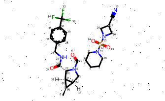 C[C@@H]1[C@@H]2CN(C(=O)[C@H]3CCCN(S(=O)(=O)N4CC(C#N)C4)C3)[C@@H](C(=O)NCc3ccc(C(F)(F)F)cc3)[C@H]12